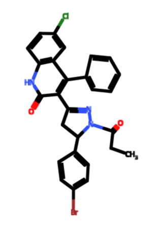 CCC(=O)N1N=C(c2c(-c3ccccc3)c3cc(Cl)ccc3[nH]c2=O)CC1c1ccc(Br)cc1